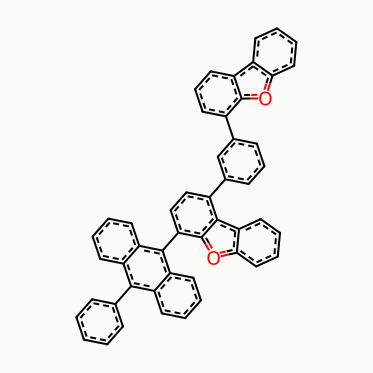 c1ccc(-c2c3ccccc3c(-c3ccc(-c4cccc(-c5cccc6c5oc5ccccc56)c4)c4c3oc3ccccc34)c3ccccc23)cc1